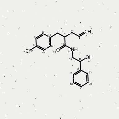 C=CCC(Cc1ccc(Cl)cc1)C(=O)NCC(O)c1ccccc1